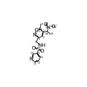 CC/C(=C\C(CNS(=O)(=O)c1cccnc1)=N/O)C(C)[N+](=O)[O-]